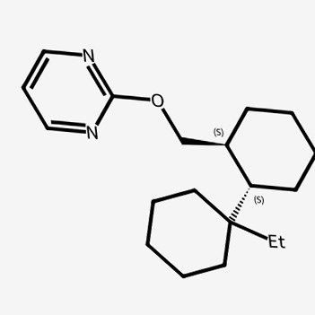 CCC1([C@H]2CCCC[C@@H]2COc2ncccn2)CCCCC1